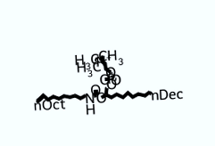 CCCCCCCC/C=C\CCCCCCCCNC(=O)OC(CCCCCCCCCCCCCCCCCC)COP(=O)([O-])OCC[N+](C)(C)C